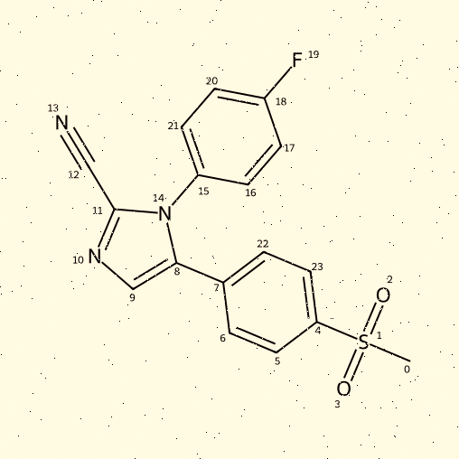 CS(=O)(=O)c1ccc(-c2cnc(C#N)n2-c2ccc(F)cc2)cc1